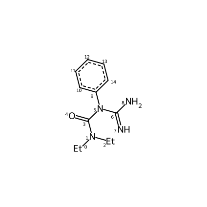 CCN(CC)C(=O)N(C(=N)N)c1ccccc1